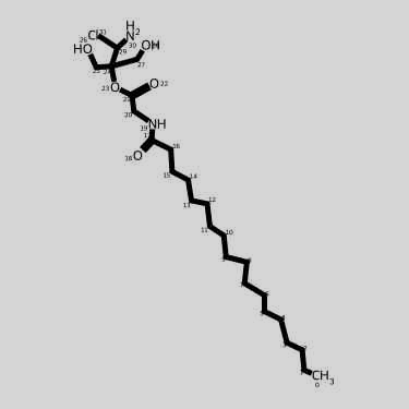 CCCCCCCCCCCCCCCCCC(=O)NCC(=O)OC(CO)(CO)C(N)Cl